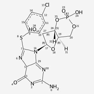 NC1=NC(=O)C2N=C(Sc3ccc(Cl)cc3)N([C@@H]3O[C@@H]4COP(=O)(O)O[C@H]4[C@H]3O)C2=N1